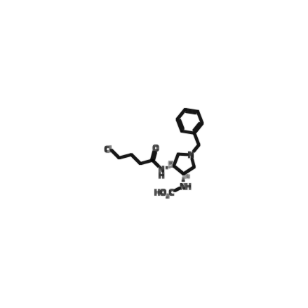 O=C(O)N[C@H]1CN(Cc2ccccc2)C[C@H]1NC(=O)CCCCl